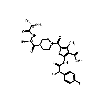 CCC(C(=O)Nc1sc(C(=O)N2CCN(C(=O)[C@@H](NC(=O)[C@@H](N)C(C)C)C(C)C)CC2)c(C)c1C(=O)OC)c1ccc(F)cc1